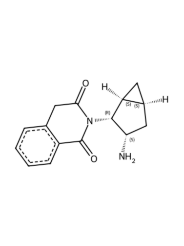 N[C@H]1C[C@@H]2C[C@@H]2[C@H]1N1C(=O)Cc2ccccc2C1=O